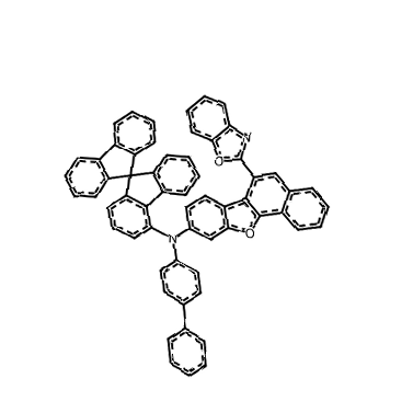 c1ccc(-c2ccc(N(c3ccc4c(c3)oc3c5ccccc5cc(-c5nc6ccccc6o5)c43)c3cccc4c3-c3ccccc3C43c4ccccc4-c4ccccc43)cc2)cc1